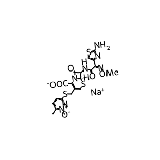 CO/N=C(\C(=O)NC1C(=O)N2C(C(=O)[O-])=C(CSc3ccc(C)[n+]([O-])n3)CS[C@H]12)c1csc(N)n1.[Na+]